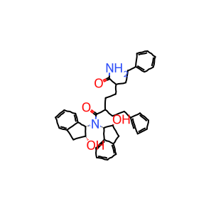 NC(=O)C(CCc1ccccc1)CCC(CCc1ccccc1)C(=O)N([C@H]1c2ccccc2C[C@H]1O)[C@H]1c2ccccc2C[C@H]1O